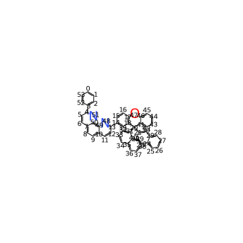 c1ccc(-c2ccc3ccc4ccc(-c5ccc6c(c5)C(c5ccc7ccccc7c5)(c5cccc7ccccc57)c5ccccc5O6)nc4c3n2)cc1